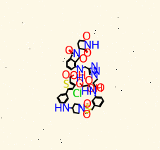 O=C(O)COc1c(C(=O)O)sc(-c2cccc(NC3CCN(S(=O)(=O)Cc4cccc(NC(=O)CCn5cc(CNc6cccc7c6C(=O)N(C6CCC(=O)NC6=O)C7=O)nn5)c4)CC3)c2)c1Cl